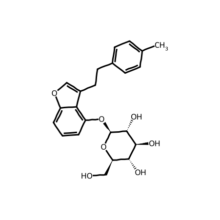 Cc1ccc(CCc2coc3cccc(O[C@@H]4O[C@H](CO)[C@@H](O)[C@H](O)[C@H]4O)c23)cc1